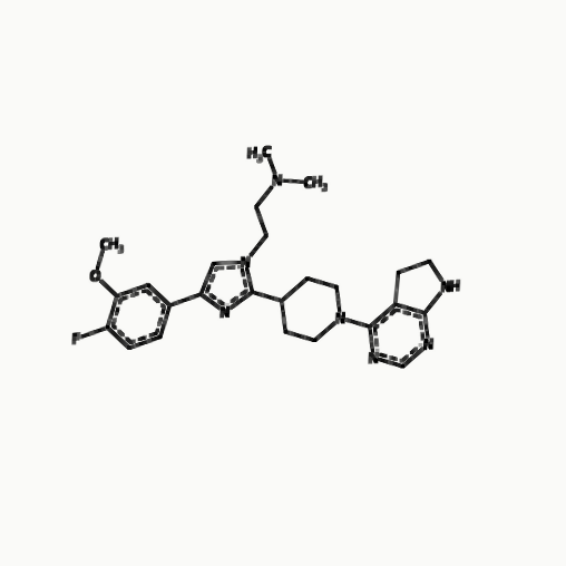 COc1cc(-c2cn(CCN(C)C)c(C3CCN(c4ncnc5c4CCN5)CC3)n2)ccc1F